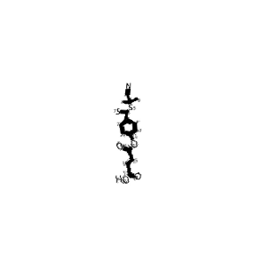 CC(C)(C#N)SC(=S)c1ccc(OC(=O)CCC(=O)O)cc1